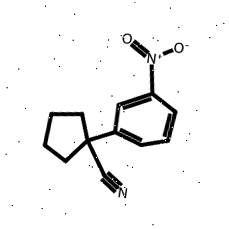 N#CC1(c2cccc([N+](=O)[O-])c2)CCCC1